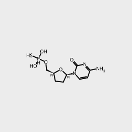 Nc1ccn([C@H]2CC[C@@H](CO[PH](O)(O)S)O2)c(=O)n1